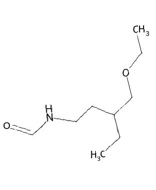 CCOCC(CC)CCNC=O